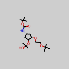 CC(C)(C)OCCO[C@H]1C[C@@H](NC(=O)OC(C)(C)C)C[C@@H]1OC(C)(C)O